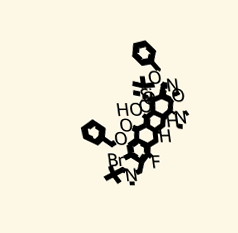 CN(Cc1c(F)c2c(c(OCc3ccccc3)c1Br)C(=O)C1=C(O)[C@]3(O[Si](C)(C)C(C)(C)C)C(=O)c4c(OCc5ccccc5)noc4[C@@H](N(C)C)[C@@H]3C[C@@H]1C2)CC(C)(C)C